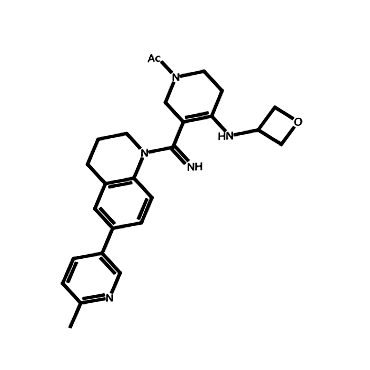 CC(=O)N1CCC(NC2COC2)=C(C(=N)N2CCCc3cc(-c4ccc(C)nc4)ccc32)C1